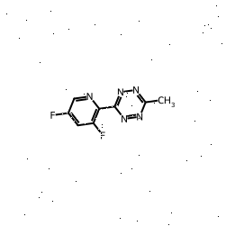 Cc1nnc(-c2ncc(F)cc2F)nn1